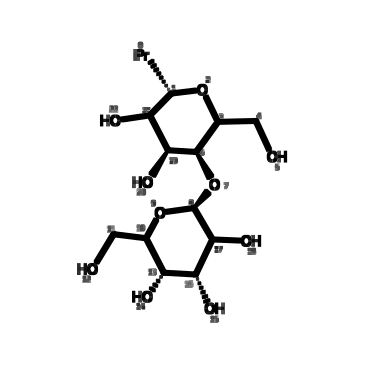 CC(C)[C@@H]1OC(CO)[C@@H](O[C@@H]2OC(CO)[C@@H](O)[C@@H](O)C2O)[C@@H](O)C1O